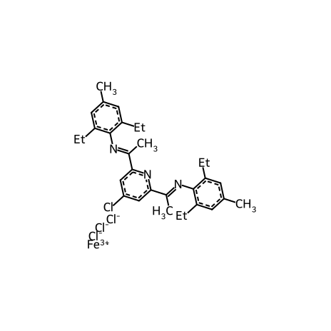 CCc1cc(C)cc(CC)c1N=C(C)c1cc(Cl)cc(C(C)=Nc2c(CC)cc(C)cc2CC)n1.[Cl-].[Cl-].[Cl-].[Fe+3]